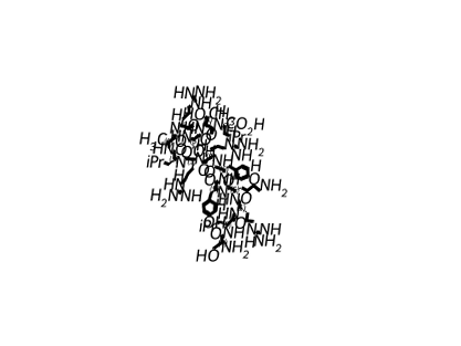 CC(C)C[C@H](NC(=O)[C@@H](NC(=O)[C@H](CO)NC(=O)[C@H](CCCNC(=N)N)NC(=O)[C@H](C)NC(=O)[C@H](CC(C)C)NC(=O)[C@H](CCCNC(=N)N)NC(=O)[C@H](CCCNC(=N)N)NC(=O)[C@H](Cc1ccc(O)cc1)NC(=O)[C@H](Cc1ccc(O)cc1)NC(=O)[C@H](CCCCN)NC(=O)[C@H](CCCNC(=N)N)NC(=O)[C@H](CC(C)C)NC(=O)[C@@H](N)CO)[C@@H](C)O)C(=O)O